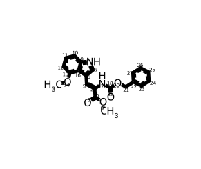 COC(=O)/C(=C/c1c[nH]c2cccc(OC)c12)NC(=O)OCc1ccccc1